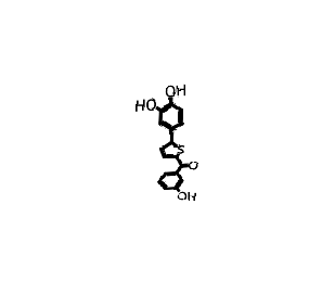 O=C(C1=CCC(c2ccc(O)c(O)c2)S1)c1cccc(O)c1